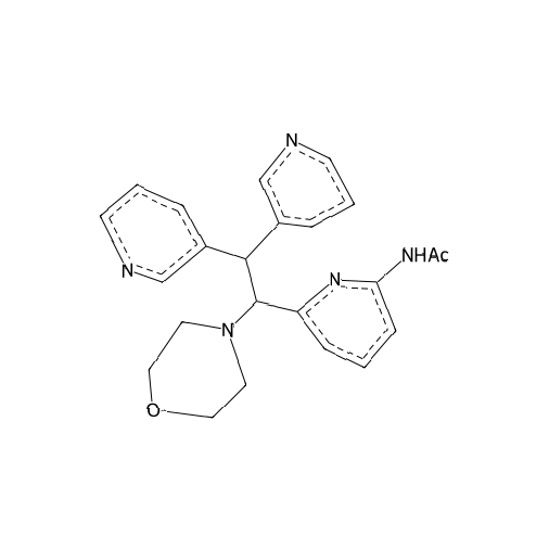 CC(=O)Nc1cccc(C(C(c2cccnc2)c2cccnc2)N2CCOCC2)n1